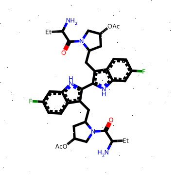 CCC(N)C(=O)N1CC(OC(C)=O)CC1Cc1c(-c2[nH]c3cc(F)ccc3c2CC2CC(OC(C)=O)CN2C(=O)C(N)CC)[nH]c2cc(F)ccc12